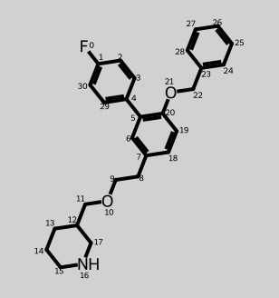 Fc1ccc(-c2cc(CCOCC3CCCNC3)ccc2OCc2ccccc2)cc1